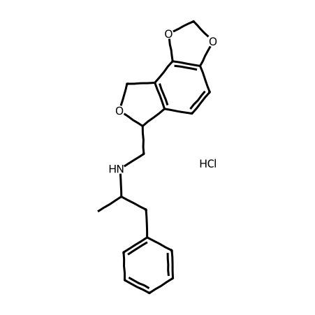 CC(Cc1ccccc1)NCC1OCc2c1ccc1c2OCO1.Cl